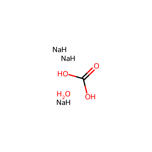 O.O=C(O)O.[NaH].[NaH].[NaH]